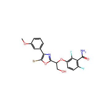 COc1cccc(-c2nc(C(CO)Oc3ccc(F)c(C(N)=O)c3F)oc2Br)c1